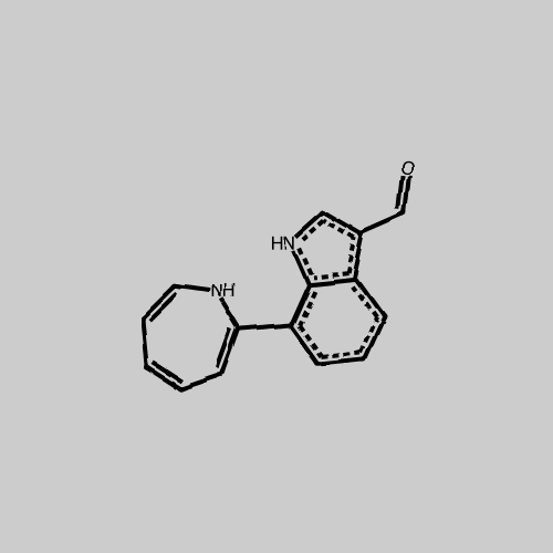 O=Cc1c[nH]c2c(C3=CC=CC=CN3)cccc12